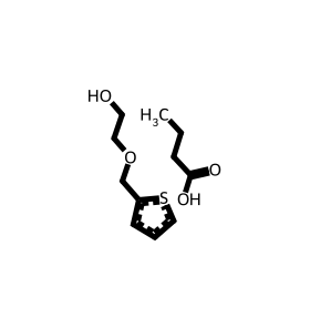 CCCC(=O)O.OCCOCc1cccs1